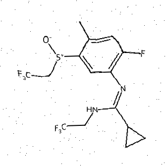 Cc1cc(F)c(/N=C(\NCC(F)(F)F)C2CC2)cc1[S+]([O-])CC(F)(F)F